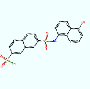 O=S(=O)(Cl)c1ccc2ccc(S(=O)(=O)Nc3cccc4c(O)cccc34)cc2c1